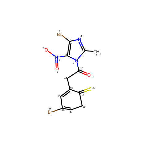 Cc1nc(Br)c([N+](=O)[O-])n1C(=O)CC1=CC(Br)=CCC1=S